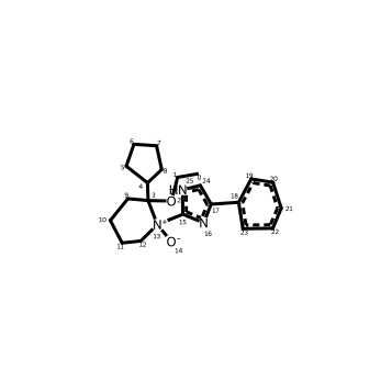 CCOC1(C2CCCC2)CCCC[N+]1([O-])c1nc(-c2ccccc2)c[nH]1